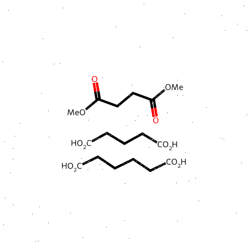 COC(=O)CCC(=O)OC.O=C(O)CCCC(=O)O.O=C(O)CCCCC(=O)O